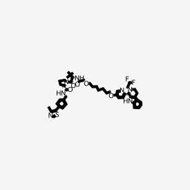 Cc1ncsc1-c1ccc(CNC(=O)[C@@H]2CCCN2C(=O)[C@@H](NC(=O)COCCCCCCCOc2ccc([C@@H]3c4[nH]c5ccccc5c4CCN3CC(F)F)nc2)C(C)(C)C)cc1